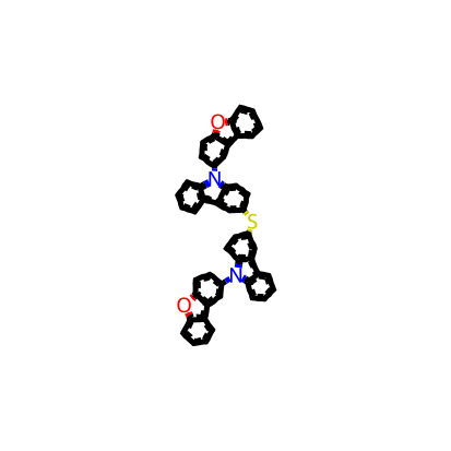 c1ccc2c(c1)oc1ccc(-n3c4ccccc4c4cc(Sc5ccc6c(c5)c5ccccc5n6-c5ccc6oc7ccccc7c6c5)ccc43)cc12